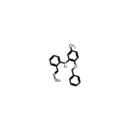 Cc1ccc(OCc2ccccc2)c(Pc2ccccc2/C=N/C(C)(C)C)c1